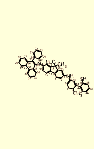 CC1CC=C(Nc2ccc3c(c2)C(C)(C)c2cc(-n4c5ccccc5c5c6ccccc6c6ccccc6c54)ccc2-3)C=C1c1ccccc1S